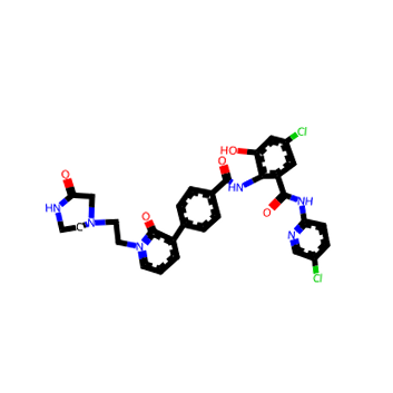 O=C1CN(CCn2cccc(-c3ccc(C(=O)Nc4c(O)cc(Cl)cc4C(=O)Nc4ccc(Cl)cn4)cc3)c2=O)CCN1